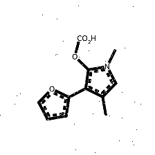 Cc1cn(C)c(OC(=O)O)c1-c1ccco1